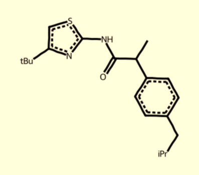 CC(C)Cc1ccc(C(C)C(=O)Nc2nc(C(C)(C)C)cs2)cc1